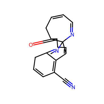 N#CC1=C2C3=CCC(=O)C4CC=CC=NC34N=C2CC=C1